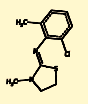 Cc1cccc(Cl)c1N=C1SCCN1C